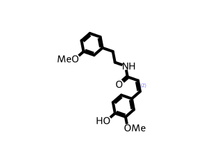 COc1cccc(CCNC(=O)/C=C\c2ccc(O)c(OC)c2)c1